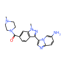 CN1CCN(C(=O)c2ccc3c(-c4cnc5ccc(N)cn45)nn(C)c3c2)CC1